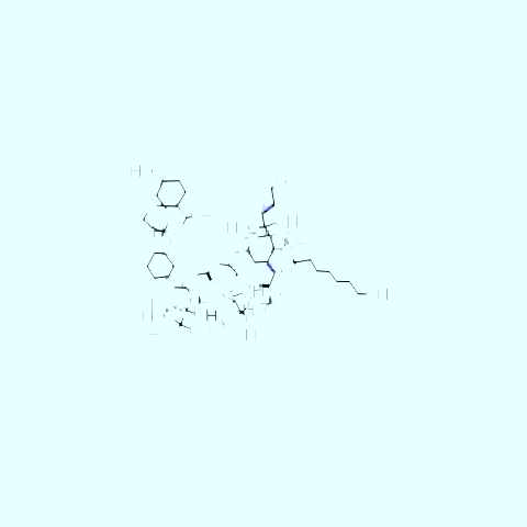 CCCCCCCC(=O)O[C@H]1/C(=C/C(=O)OC)C[C@@H](C[C@H](CO[Si](C)(C)C(C)(C)C)OC(=O)C[C@@H](C[C@@H]2CCC[C@H](C[C@@H]3CCOC4(C[C@H](C)CC[C@H]4C(C)C)O3)C2)O[Si](C)(C)C(C)(C)C)O[C@@]1(OC)C(C)(C)/C=C/C=O